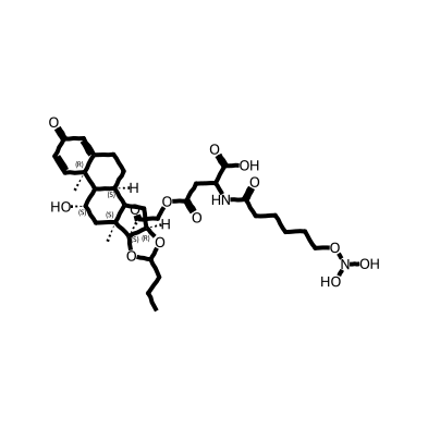 CCCC1O[C@@H]2CC3[C@@H]4CCC5=CC(=O)C=C[C@]5(C)C4[C@@H](O)C[C@]3(C)[C@]2(C(=O)COC(=O)CC(NC(=O)CCCCCON(O)O)C(=O)O)O1